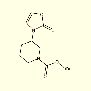 CC(C)(C)OC(=O)N1CCCC(n2ccoc2=O)C1